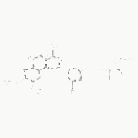 COc1cc2ncc3c(N)nc(-c4cc(F)cc(CCCNC(=O)OC(C)(C)C)c4)cc3c2cc1OC